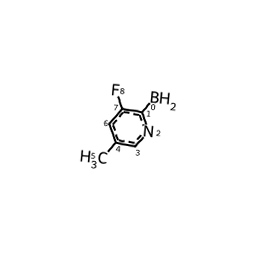 Bc1ncc(C)cc1F